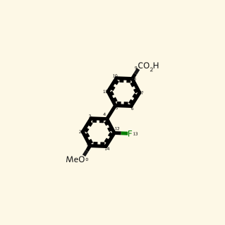 COc1ccc(-c2ccc(C(=O)O)cc2)c(F)c1